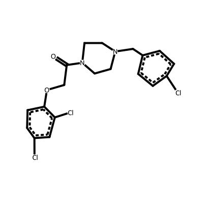 O=C(COc1ccc(Cl)cc1Cl)N1CCN(Cc2ccc(Cl)cc2)CC1